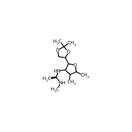 C=C(NC)NC1C(C)C(C)OC1C1COC(C)(C)O1